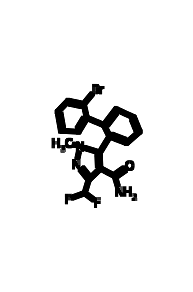 Cn1nc(C(F)F)c(C(N)=O)c1-c1ccccc1-c1ccccc1Br